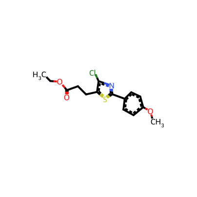 CCOC(=O)CCc1sc(-c2ccc(OC)cc2)nc1Cl